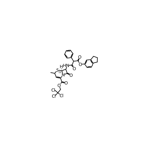 CC1C=C(C(=O)OCC(Cl)(Cl)Cl)N2C(=O)C(NC(=O)C(C(=O)Oc3ccc4c(c3)CCC4)c3ccccc3)[C@@H]2S1